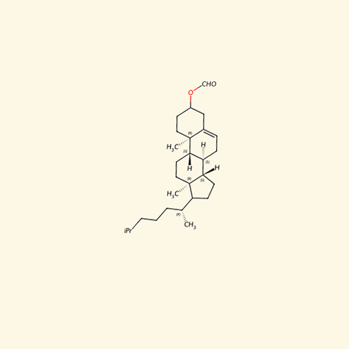 CC(C)CCC[C@@H](C)C1CC[C@H]2[C@@H]3CC=C4CC(OC=O)CC[C@]4(C)[C@H]3CC[C@]12C